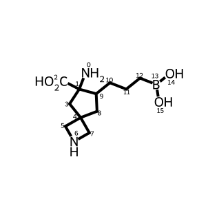 NC1(C(=O)O)CC2(CNC2)CC1CCCB(O)O